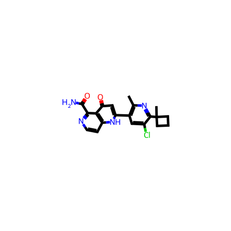 Cc1nc(C2(C)CCC2)c(Cl)cc1-c1cc(=O)c2c(C(N)=O)nccc2[nH]1